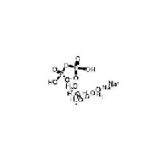 O.O.O.O.O.O.O=P([O-])(O)OP(=O)([O-])O.[Na+].[Na+]